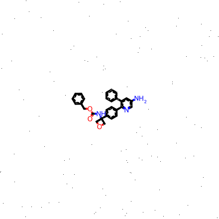 Nc1cnc(-c2ccc(C3(NC(=O)OCc4ccccc4)COC3)cc2)c(-c2ccccc2)c1